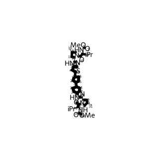 COC(=O)NC(C(=O)N1C[C@@H](C)C[C@H]1c1nc2sc(-c3ccc(-c4ccc5[nH]c([C@@H]6C[C@H](C)CN6C(=O)[C@@H](NC(=O)OC)C(C)C)nc5c4)cc3)cc2[nH]1)C(C)C